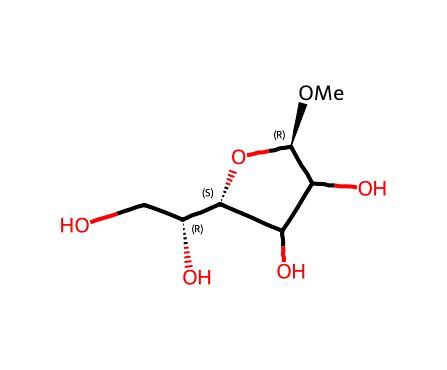 CO[C@@H]1O[C@@H]([C@H](O)CO)C(O)C1O